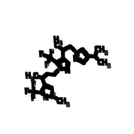 CC(C)c1cnn(CC(C)c2cnn(CCC(C)c3cn(C)nc3C(F)(F)F)c2C(F)(F)F)c1